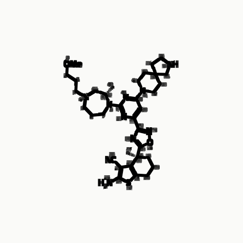 COCCCN1CCCN(c2nc(-c3noc([C@@]4(C)CCCc5sc(N)c(C#N)c54)n3)cc(N3CCC4(CCNC4)CC3)n2)[C@@H](C)C1